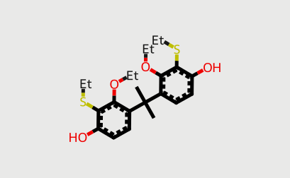 CCOc1c(C(C)(C)c2ccc(O)c(SCC)c2OCC)ccc(O)c1SCC